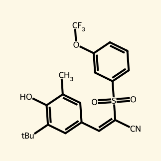 Cc1cc(/C=C(/C#N)S(=O)(=O)c2cccc(OC(F)(F)F)c2)cc(C(C)(C)C)c1O